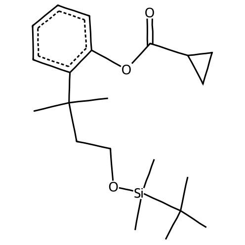 CC(C)(CCO[Si](C)(C)C(C)(C)C)c1ccccc1OC(=O)C1CC1